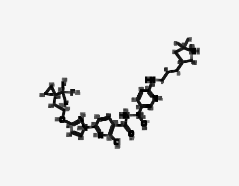 CC1(C)CC(CCCNc2ccc([S+]([O-])NC(=O)c3ccc(-n4ccc(OCCC5(C(F)(F)F)CC5)n4)nc3Cl)cn2)CN1